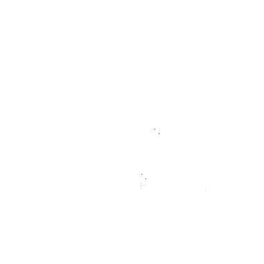 Cc1[nH]c(C=O)nc1C1CCCCC1